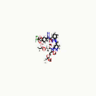 CCC(=O)OCCC(=O)N(C(=O)CCOC(=O)CC)c1cc(CNc2ccccc2C(=O)Nc2ccc3c(c2)OC(F)(F)O3)ccn1